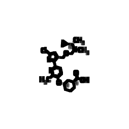 Cc1nc(-c2sc(Cl)cc2COCN(C)[C@@H](C)C2CC2)ccc1O[C@H]1CCC[C@H](C(=O)O)C1